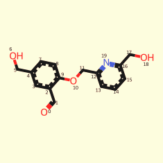 O=Cc1cc(CO)ccc1OCc1cccc(CO)n1